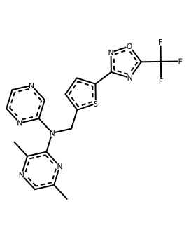 Cc1cnc(C)c(N(Cc2ccc(-c3noc(C(F)(F)F)n3)s2)c2cnccn2)n1